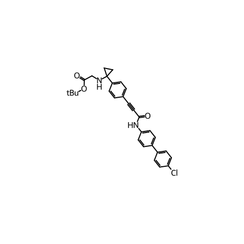 CC(C)(C)OC(=O)CNC1(c2ccc(C#CC(=O)Nc3ccc(-c4ccc(Cl)cc4)cc3)cc2)CC1